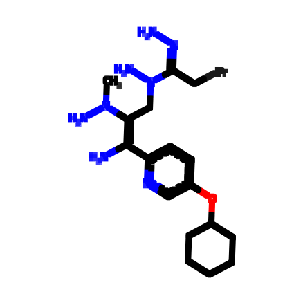 CC(C)C/C(=N/N)N(N)C/C(=C(/N)c1ccc(OC2CCCCC2)cn1)N(C)N